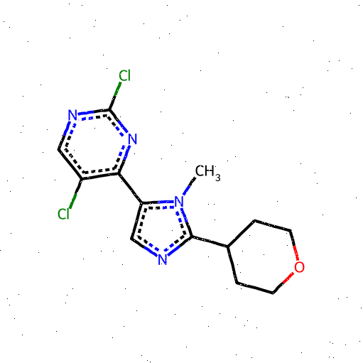 Cn1c(-c2nc(Cl)ncc2Cl)cnc1C1CCOCC1